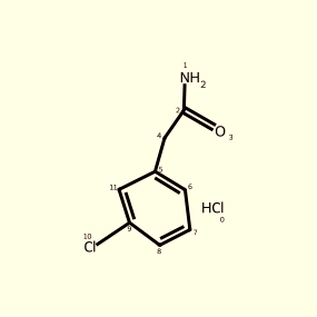 Cl.NC(=O)Cc1cccc(Cl)c1